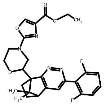 CCOC(=O)c1coc(N2CCOC(C34CCC(c5cc(-c6c(F)cccc6F)nnc53)C4(C)C)C2)n1